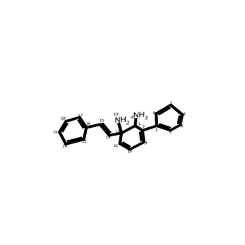 NC1C(c2ccccc2)=CC=CC1(N)C=Cc1ccccc1